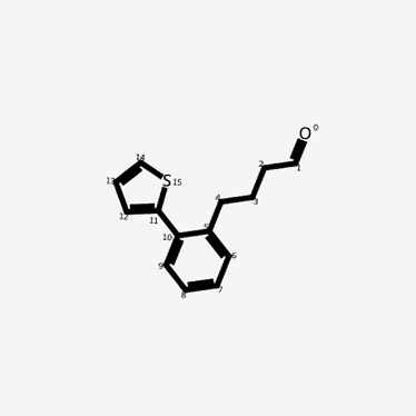 O=CCCCc1ccccc1-c1cccs1